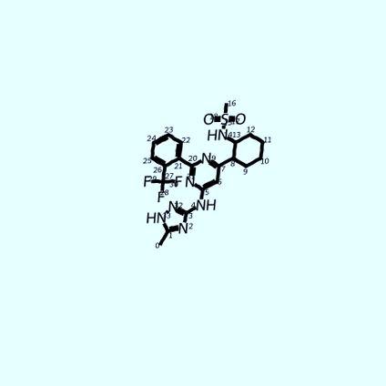 Cc1nc(Nc2cc(C3CCCCC3NS(C)(=O)=O)nc(-c3ccccc3C(F)(F)F)n2)n[nH]1